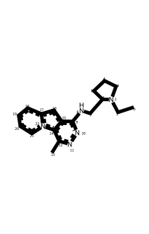 CCN1CCCC1CNc1nnc(C)c2c1cc1ccccn12